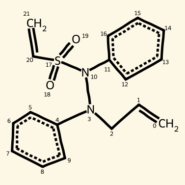 C=CCN(c1ccccc1)N(c1ccccc1)S(=O)(=O)C=C